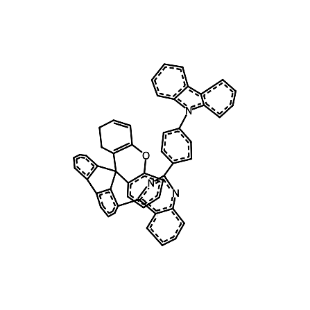 C1=CC2=C(CC1)C1(c3ccccc3O2)c2ccccc2-c2cccc(-c3nc(-c4ccc(-n5c6ccccc6c6ccccc65)cc4)nc4ccccc34)c21